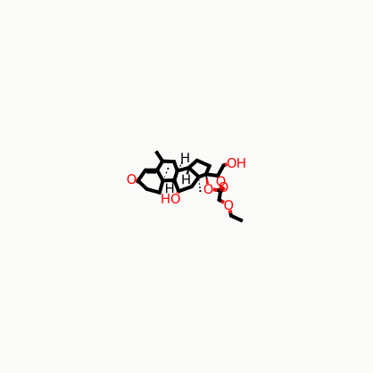 CCOCC(=O)O[C@]1(C(=O)CO)CC[C@H]2[C@@H]3CC(C)C4=CC(=O)CC[C@]4(C)[C@H]3C(O)C[C@@]21C